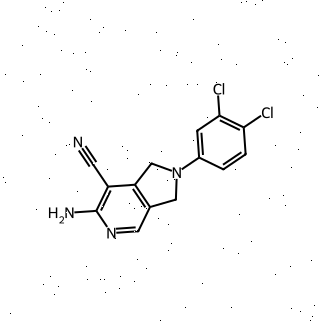 N#Cc1c(N)ncc2c1CN(c1ccc(Cl)c(Cl)c1)C2